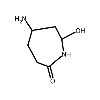 NC1CCC(=O)NC(O)C1